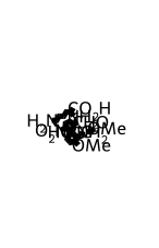 COCC(=O)O.COc1ccccc1CN.NCCCCC(N)C(=O)O.O=Cc1ccc([N+](=O)[O-])cc1